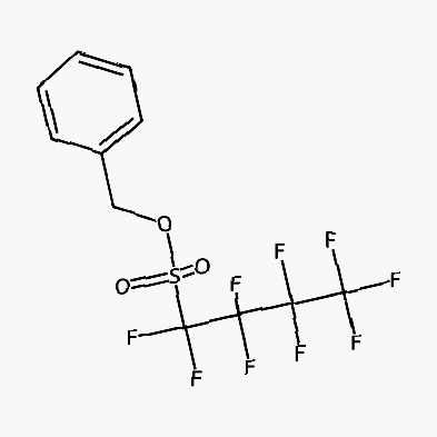 O=S(=O)(OCc1ccccc1)C(F)(F)C(F)(F)C(F)(F)C(F)(F)F